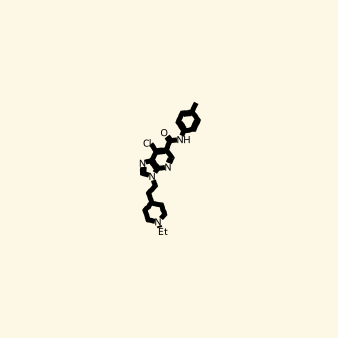 CCN1CCC(CCn2cnc3c(Cl)c(C(=O)Nc4ccc(C)cc4)cnc32)CC1